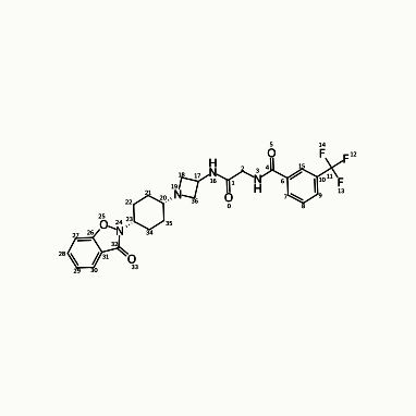 O=C(CNC(=O)c1cccc(C(F)(F)F)c1)NC1CN([C@H]2CC[C@@H](n3oc4ccccc4c3=O)CC2)C1